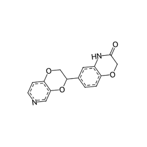 O=C1COc2ccc(C3COc4ccncc4O3)cc2N1